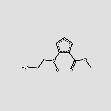 COC(=O)c1sccc1[S+]([O-])CCN